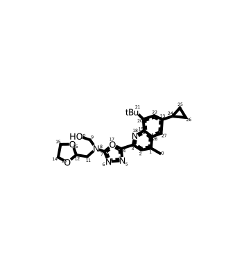 Cc1cc(-c2nnc(N(CO)CC3OCCO3)o2)nc2c(C(C)(C)C)cc(C3CC3)cc12